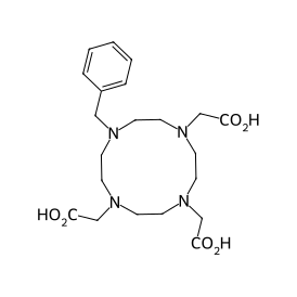 O=C(O)CN1CCN(CC(=O)O)CCN(Cc2ccccc2)CCN(CC(=O)O)CC1